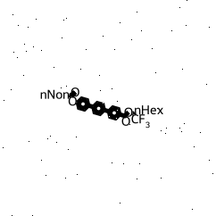 CCCCCCCCCC(=O)Oc1ccc(-c2ccc(-c3ccc(C(=O)OC(CCCCCC)C(F)(F)F)cc3)cc2)cc1